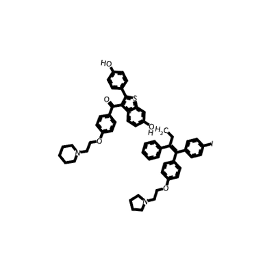 CC/C(=C(\c1ccc(I)cc1)c1ccc(OCCN2CCCC2)cc1)c1ccccc1.O=C(c1ccc(OCCN2CCCCC2)cc1)c1c(-c2ccc(O)cc2)sc2cc(O)ccc12